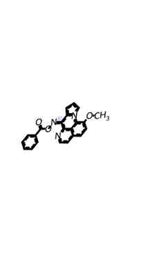 COc1ccc2ccnc3/c(=N\OC(=O)c4ccccc4)c4cccn4c1c23